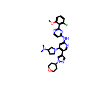 COc1cccc(F)c1-c1nccc(Nc2cc(N3CCC(N(C)C)C3)c(-c3cnn(C4CCOCC4)c3)cn2)n1